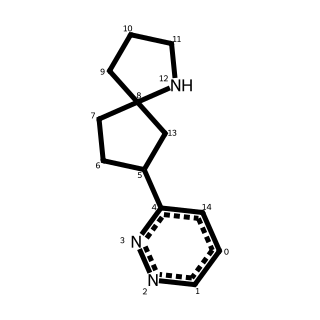 c1cnnc(C2CCC3(CCCN3)C2)c1